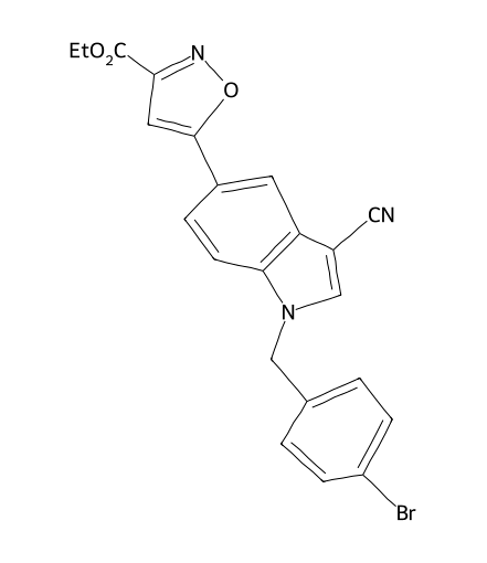 CCOC(=O)c1cc(-c2ccc3c(c2)c(C#N)cn3Cc2ccc(Br)cc2)on1